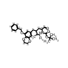 CC(C)C(Cc1cc2c(c(OCc3ccccc3)c1)OCCO2)CC(C=O)NC(=O)OC(C)(C)C